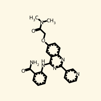 CN(C)C(=O)COc1ccc2nc(-c3cccnc3)nc(Nc3ccccc3C(N)=O)c2c1